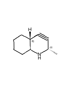 C[C@H]1C#C[C@H]2CCCCC2N1